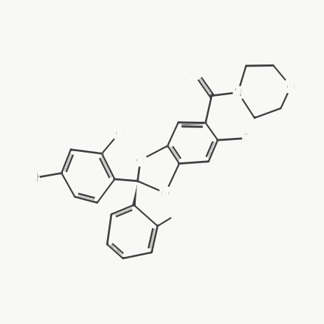 O=C(c1cc2c(cc1F)O[C@](c1ccccc1F)(c1ccc(Cl)cc1Cl)O2)N1CCOCC1